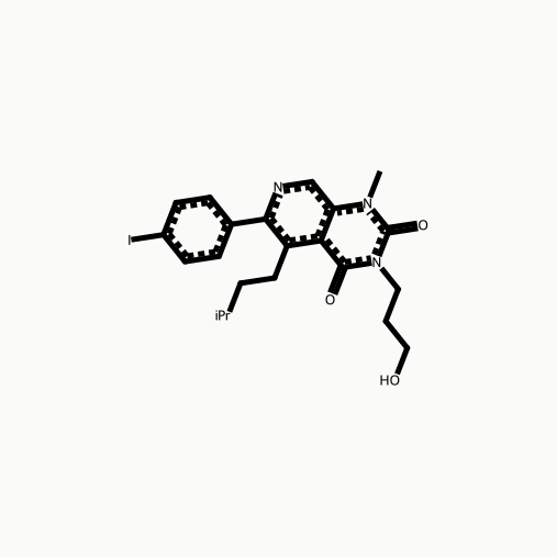 CC(C)CCc1c(-c2ccc(I)cc2)ncc2c1c(=O)n(CCCO)c(=O)n2C